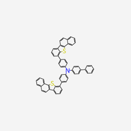 c1ccc(-c2ccc(N(c3ccc(-c4cccc5c4sc4c6ccccc6ccc54)cc3)c3ccc(-c4cccc5c4sc4c6ccccc6ccc54)cc3)cc2)cc1